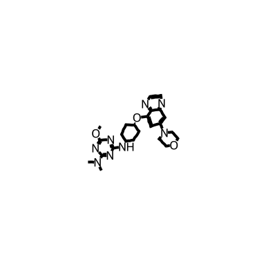 COc1nc(N[C@H]2CC[C@@H](Oc3cc(N4CCOCC4)cc4nccnc34)CC2)nc(N(C)C)n1